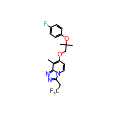 Cc1c(OCC(C)(C)Oc2ccc(F)cc2)ccn2c(CC(F)(F)F)nnc12